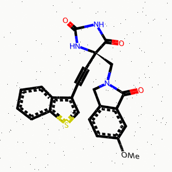 COc1ccc2c(c1)C(=O)N(C[C@@]1(C#Cc3csc4ccccc34)NC(=O)NC1=O)C2